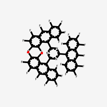 Fc1c(F)c(F)c2c(-c3nc(-c4c5c(F)c(F)c(F)c(F)c5c(F)c5c(F)c(F)c(F)c(F)c45)nc(-c4c5c(F)c(F)c(F)c(F)c5c(F)c5c(F)c(F)c(F)c(F)c45)n3)c3c(F)c(F)c(F)c(F)c3c(F)c2c1F